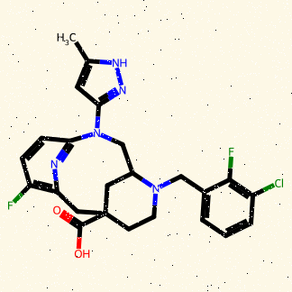 Cc1cc(N2CC3CC(C(=O)O)(CCN3Cc3cccc(Cl)c3F)Cc3nc2ccc3F)n[nH]1